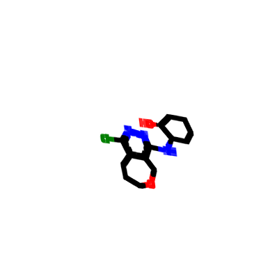 O[C@@H]1CCCC[C@H]1Nc1nnc(Cl)c2c1COCCC2